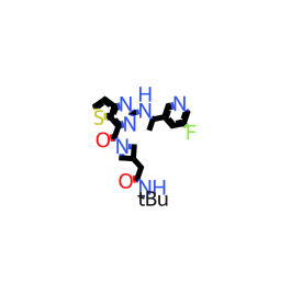 CC(Nc1nc(C(=O)N2CC(CC(=O)NC(C)(C)C)C2)c2sccc2n1)c1cncc(F)c1